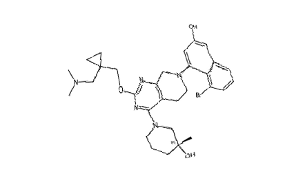 CN(C)CC1(COc2nc3c(c(N4CCC[C@@](C)(O)C4)n2)CCN(c2cc(O)cc4cccc(Br)c24)C3)CC1